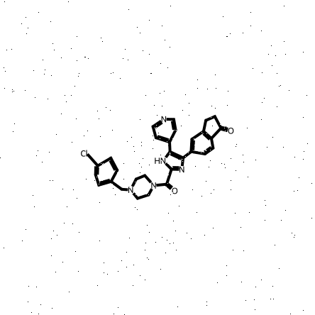 O=C1CCc2cc(-c3nc(C(=O)N4CCN(Cc5ccc(Cl)cc5)CC4)[nH]c3-c3ccncc3)ccc21